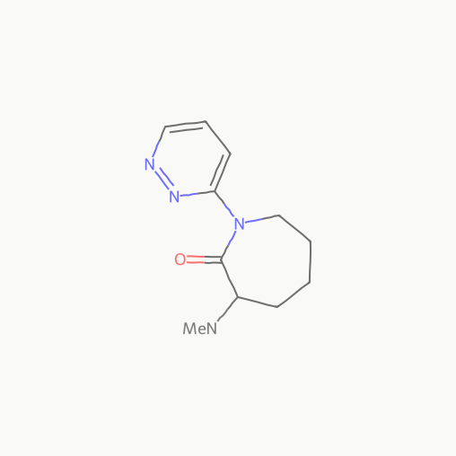 CNC1CCCCN(c2cccnn2)C1=O